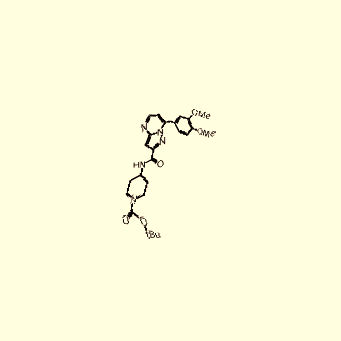 COc1ccc(-c2ccnc3cc(C(=O)NC4CCN(C(=O)OC(C)(C)C)CC4)nn23)cc1OC